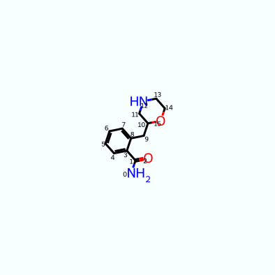 NC(=O)c1ccccc1CC1CNCCO1